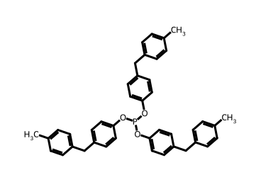 Cc1ccc(Cc2ccc(OP(Oc3ccc(Cc4ccc(C)cc4)cc3)Oc3ccc(Cc4ccc(C)cc4)cc3)cc2)cc1